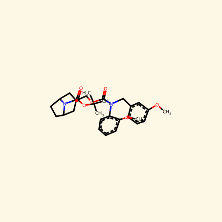 COc1cccc(CN(C(=O)OCC2CC3CCC(C2)N3C(=O)OC(C)(C)C)c2ccccc2OC)c1